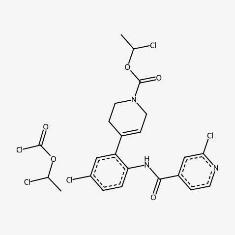 CC(Cl)OC(=O)Cl.CC(Cl)OC(=O)N1CC=C(c2cc(Cl)ccc2NC(=O)c2ccnc(Cl)c2)CC1